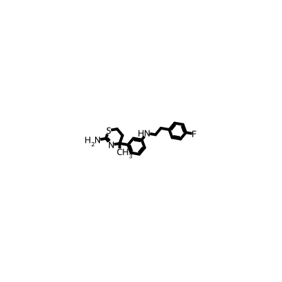 CC1(c2cccc(NCCc3ccc(F)cc3)c2)CCSC(N)=N1